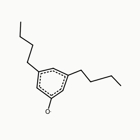 CCCCc1cc([O])cc(CCCC)c1